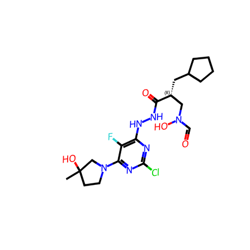 CC1(O)CCN(c2nc(Cl)nc(NNC(=O)[C@H](CC3CCCC3)CN(O)C=O)c2F)C1